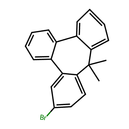 CC1(C)c2ccccc2-c2ccccc2-c2cc(Br)ccc21